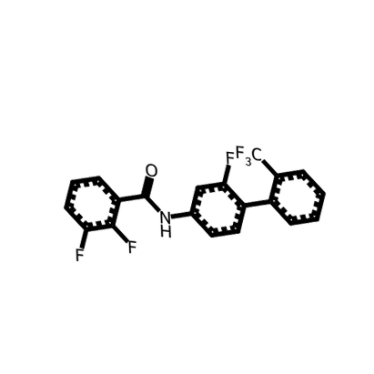 O=C(Nc1ccc(-c2ccccc2C(F)(F)F)c(F)c1)c1cccc(F)c1F